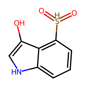 O=[SH](=O)c1cccc2[nH]cc(O)c12